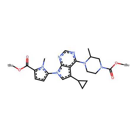 CC1CN(C(=O)OC(C)(C)C)CCN1c1ncnc2c1c(C1CC1)cn2-c1ccc(C(=O)OC(C)(C)C)n1C